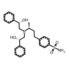 C[C@@H](CCc1ccc(S(N)(=O)=O)cc1)N(C[C@@H](O)c1ccccc1)C[C@@H](O)c1ccccc1